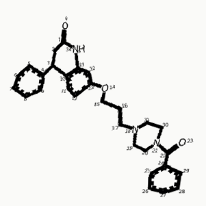 O=C1CC(c2ccccc2)c2ccc(OCCCN3CCN(C(=O)c4ccccc4)CC3)cc2N1